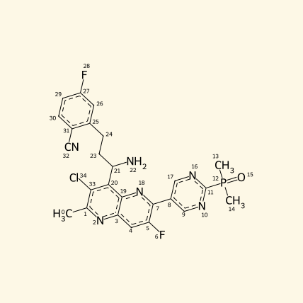 Cc1nc2cc(F)c(-c3cnc(P(C)(C)=O)nc3)nc2c(C(N)CCc2cc(F)ccc2C#N)c1Cl